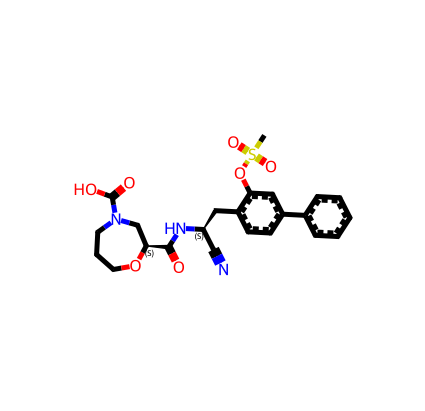 CS(=O)(=O)Oc1cc(-c2ccccc2)ccc1C[C@@H](C#N)NC(=O)[C@@H]1CN(C(=O)O)CCCO1